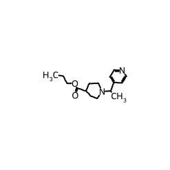 CCCOC(=O)C1CCN(C(C)c2ccncc2)CC1